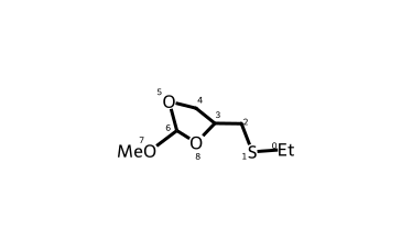 CCSCC1COC(OC)O1